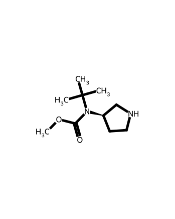 COC(=O)N([C@@H]1CCNC1)C(C)(C)C